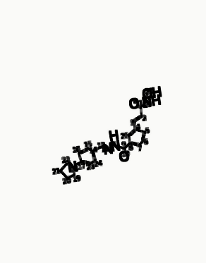 O=C(/C=C/c1cccc(C(=O)N/N=C/c2ccc(N3CCCC3)cc2)c1)NO